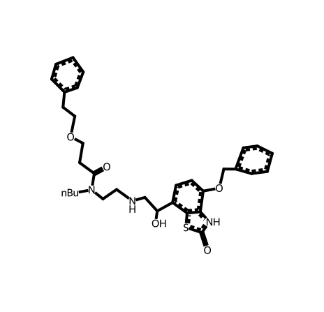 CCCCN(CCNCC(O)c1ccc(OCc2ccccc2)c2[nH]c(=O)sc12)C(=O)CCOCCc1ccccc1